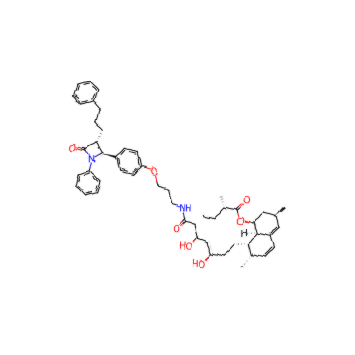 CC[C@H](C)C(=O)O[C@H]1C[C@@H](C)C=C2C=C[C@H](C)[C@H](CC[C@@H](O)C[C@@H](O)CC(=O)NCCCOc3ccc([C@@H]4[C@@H](CCCc5ccccc5)C(=O)N4c4ccccc4)cc3)[C@H]21